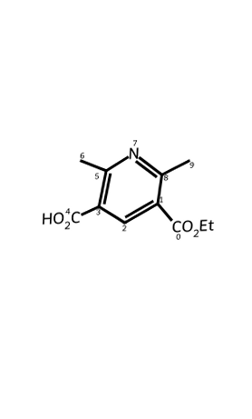 CCOC(=O)c1cc(C(=O)O)c(C)nc1C